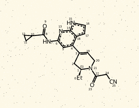 CC[C@H]1CC(c2cc(NC(=O)C3CC3)nc3[nH]ccc23)=CCN1C(=O)CC#N